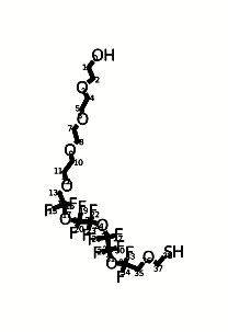 OCCOCCOCCOCCOCC(F)(F)OC(F)(F)C(F)(F)OC(F)(F)C(F)(F)OC(F)(F)COCS